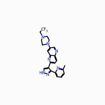 Cc1cccc(-c2n[nH]cc2-c2ccc3ncc(N4CCN(CC(F)(F)F)CC4)cc3n2)n1